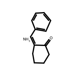 N.O=C1CCCCC1=Cc1ccccc1